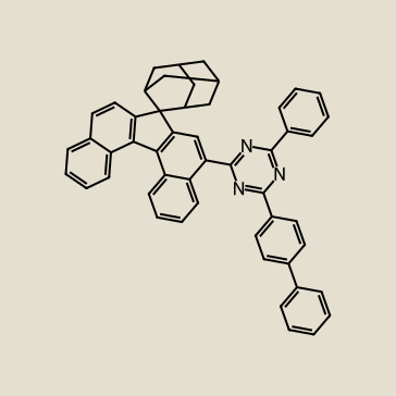 c1ccc(-c2ccc(-c3nc(-c4ccccc4)nc(-c4cc5c(c6ccccc46)-c4c(ccc6ccccc46)C54C5CC6CC(C5)CC4C6)n3)cc2)cc1